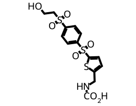 O=C(O)NCc1ccc(S(=O)(=O)c2ccc(S(=O)(=O)CCO)cc2)s1